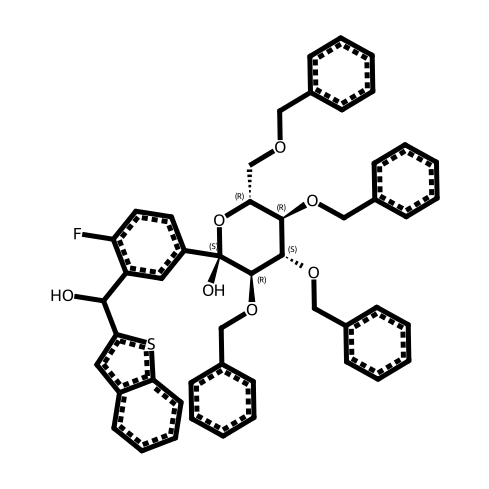 OC(c1cc2ccccc2s1)c1cc([C@]2(O)O[C@H](COCc3ccccc3)[C@@H](OCc3ccccc3)[C@H](OCc3ccccc3)[C@H]2OCc2ccccc2)ccc1F